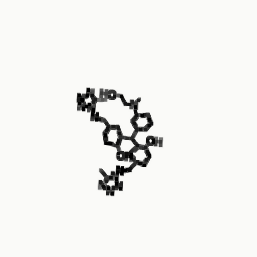 Cc1nnnn1N=Cc1ccc(O)c(C(c2cccc(N(C)CCO)c2)c2cc(C=Nn3nnnc3C)ccc2O)c1